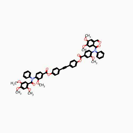 COc1cc(C=O)c(C(=O)N(c2ccccc2)c2ccc(C(=O)Oc3ccc(C#Cc4ccc(OC(=O)c5ccc(N(C(=O)c6cc(OC)c(OC)cc6OC)c6ccccc6)c(OC)c5)cc4)cc3)cc2OC)cc1OC